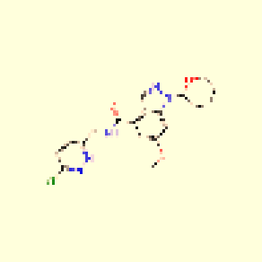 COc1cc(C(=O)NCc2ccc(Cl)nn2)c2cnn(C3CCCCO3)c2c1